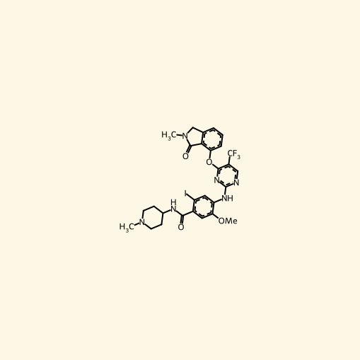 COc1cc(C(=O)NC2CCN(C)CC2)c(I)cc1Nc1ncc(C(F)(F)F)c(Oc2cccc3c2C(=O)N(C)C3)n1